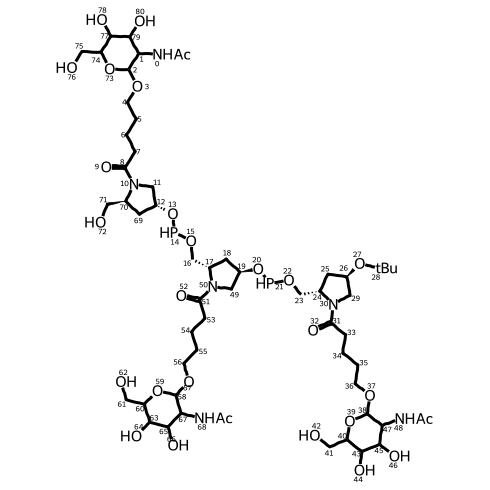 CC(=O)NC1C(OCCCCC(=O)N2C[C@H](OPOC[C@@H]3C[C@@H](OPOC[C@@H]4C[C@@H](OC(C)(C)C)CN4C(=O)CCCCOC4OC(CO)C(O)C(O)C4NC(C)=O)CN3C(=O)CCCCOC3OC(CO)C(O)C(O)C3NC(C)=O)C[C@H]2CO)OC(CO)C(O)C1O